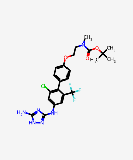 CN(CCOc1ccc(-c2c(Cl)cc(Nc3n[nH]c(N)n3)cc2C(F)(F)F)cc1)C(=O)OC(C)(C)C